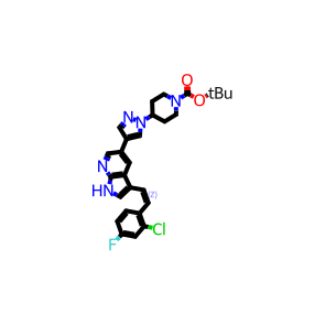 CC(C)(C)OC(=O)N1CCC(n2cc(-c3cnc4[nH]cc(/C=C\c5ccc(F)cc5Cl)c4c3)cn2)CC1